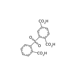 O=C(O)c1ccc(C(=O)O)c(S(=O)(=O)c2ccccc2C(=O)O)c1